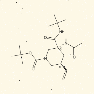 C=C[C@H]1CN(C(=O)OC(C)(C)C)C[C@@](NC(C)=O)(C(=O)NC(C)(C)C)C1